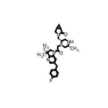 C[C@@H]1CN(CC(=O)N2CC(C)(C)c3ncc(Cc4ccc(F)cc4)cc32)[C@@H](CN2CC3CC3C2=O)CN1